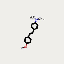 CCOc1ccc(C=Cc2ccc(N(C)C)cc2)cc1